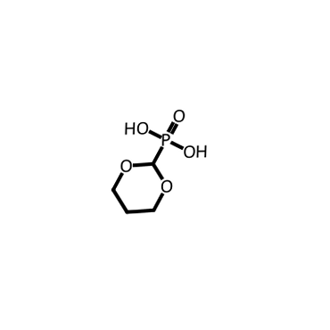 O=P(O)(O)C1OCCCO1